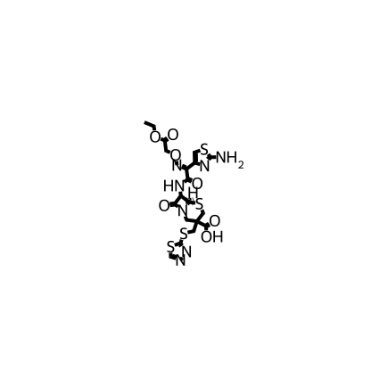 CCOC(=O)CON=C(C(=O)NC1C(=O)N2CC(CSc3nncs3)(C(=O)O)CS[C@H]12)c1csc(N)n1